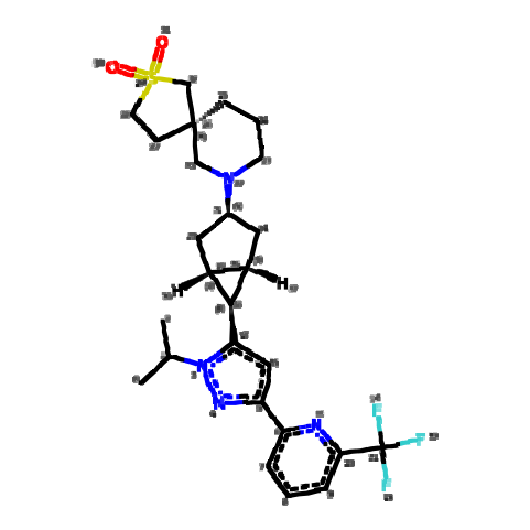 CC(C)n1nc(-c2cccc(C(F)(F)F)n2)cc1[C@H]1[C@@H]2C[C@@H](N3CCC[C@@]4(CCS(=O)(=O)C4)C3)C[C@@H]21